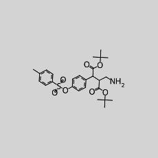 Cc1ccc(S(=O)(=O)Oc2ccc(C(C(=O)OC(C)(C)C)C(CN)C(=O)OC(C)(C)C)cc2)cc1